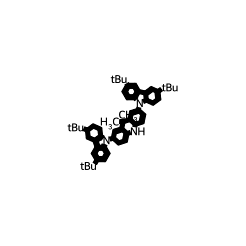 CC(C)(C)C1=CCC2C(=C1)c1cc(C(C)(C)C)ccc1N2C1=CC2C(C=C1)NC1=CCC(n3c4c(c5cc(C(C)(C)C)ccc53)CC(C(C)(C)C)CC4)C=C1C2(C)C